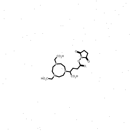 O=C(O)CN1CCN(CC(=O)O)CCN(C(CCC(=O)ON2C(=O)CCC2=O)C(=O)O)CC1